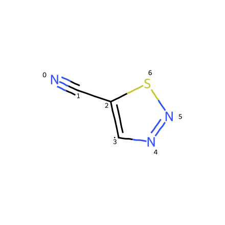 N#Cc1[c]nns1